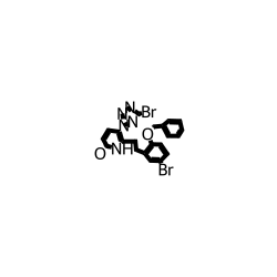 O=c1ccc(-n2nnc(Br)n2)c(CCc2cc(Br)ccc2OCc2ccccc2)[nH]1